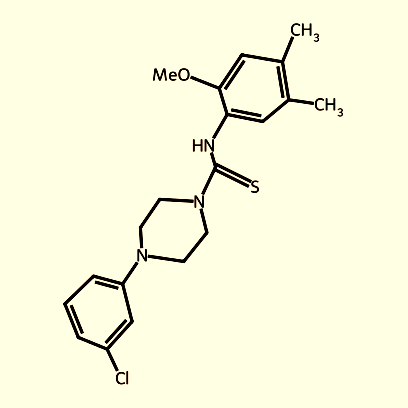 COc1cc(C)c(C)cc1NC(=S)N1CCN(c2cccc(Cl)c2)CC1